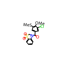 COc1c(Cl)cc(C(=O)N2CS(=O)(=O)c3ccccc32)cc1SC